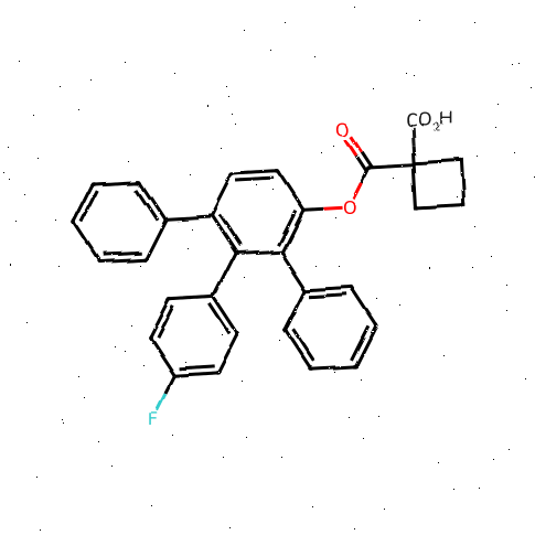 O=C(O)C1(C(=O)Oc2ccc(-c3ccccc3)c(-c3ccc(F)cc3)c2-c2ccccc2)CCC1